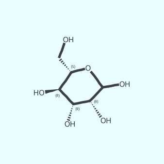 OC[C@@H]1O[C](O)[C@H](O)[C@H](O)[C@H]1O